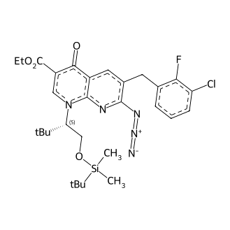 CCOC(=O)c1cn([C@H](CO[Si](C)(C)C(C)(C)C)C(C)(C)C)c2nc(N=[N+]=[N-])c(Cc3cccc(Cl)c3F)cc2c1=O